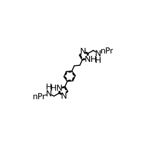 CCCNCc1ncc(CCc2ccc(-c3cnc(CNCCC)[nH]3)cc2)[nH]1